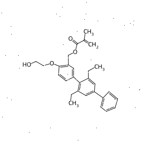 C=C(C)C(=O)OCc1cc(-c2c(CC)cc(-c3ccccc3)cc2CC)ccc1OCCO